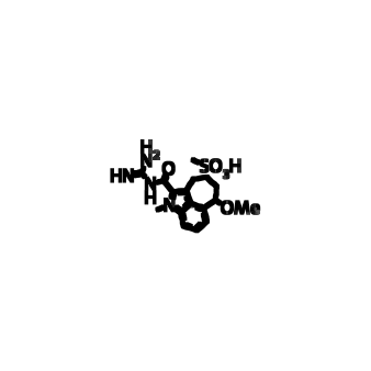 COC1CCCc2c(C(=O)NC(=N)N)n(C)c3cccc1c23.CS(=O)(=O)O